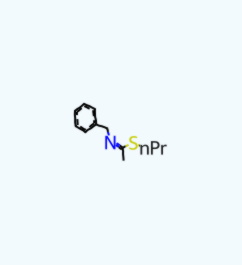 CCCS/C(C)=N\Cc1ccccc1